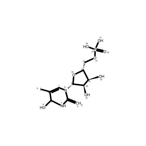 C=C1NC(O)C(I)=CN1[C@@H]1O[C@H](COP(=O)(O)O)[C@@H](O)[C@H]1O